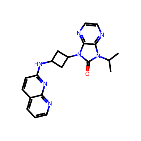 CC(C)n1c(=O)n(C2CC(Nc3ccc4cccnc4n3)C2)c2nccnc21